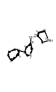 c1ccc(-c2cncc(O[C@@H]3CCNC3)c2)cc1